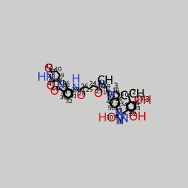 CC(C)c1cc(-c2nnc(O)n2C2=CC3C=CN(CCN(C)C(=O)CCCC(=O)Nc4cccc5c4CN(C4CCC(=O)NC4=O)C5=O)C3C=C2)c(O)cc1O